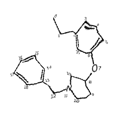 CCc1cccc(OC2CCN(Cc3ccccc3)C2)c1